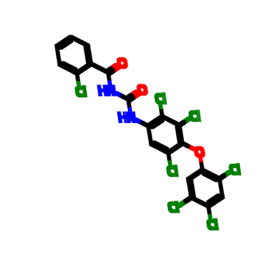 O=C(NC(=O)c1ccccc1Cl)Nc1cc(Cl)c(Oc2cc(Cl)c(Cl)cc2Cl)c(Cl)c1Cl